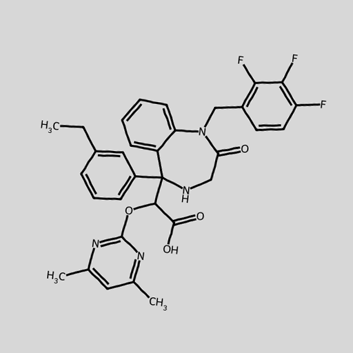 CCc1cccc(C2(C(Oc3nc(C)cc(C)n3)C(=O)O)NCC(=O)N(Cc3ccc(F)c(F)c3F)c3ccccc32)c1